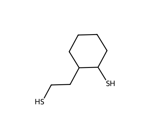 SCCC1CCCCC1S